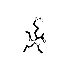 CCO[Si](OCC)(OCC)C(CCCN)C(C)=O